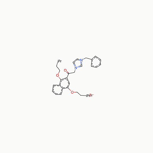 CC(C)CCOc1cc(C(=O)C[n+]2ccn(Cc3ccccc3)c2)c(OCCC(C)C)c2ccccc12.[Br-]